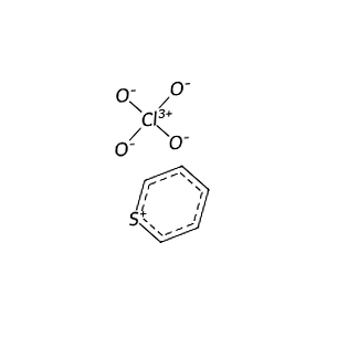 [O-][Cl+3]([O-])([O-])[O-].c1cc[s+]cc1